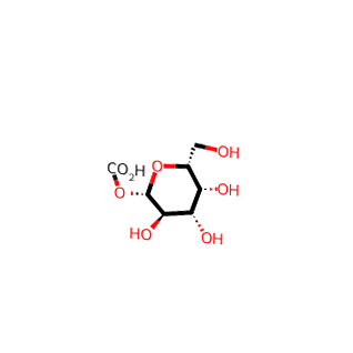 O=C(O)O[C@@H]1O[C@H](CO)[C@H](O)[C@H](O)[C@H]1O